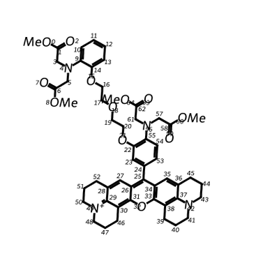 COC(=O)CN(CC(=O)OC)c1ccccc1OCCOCCOc1cc(C2=c3cc4c5c(c3Oc3c2cc2c6c3CCCN6CCC2)CCC[N+]=5CCC4)ccc1N(CC(=O)OC)CC(=O)OC